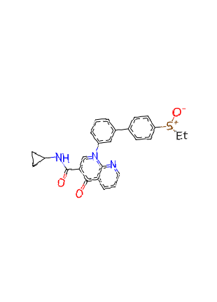 CC[S+]([O-])c1ccc(-c2cccc(-n3cc(C(=O)NC4CC4)c(=O)c4cccnc43)c2)cc1